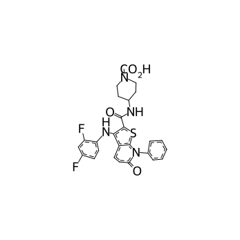 O=C(NC1CCN(C(=O)O)CC1)c1sc2c(ccc(=O)n2-c2ccccc2)c1Nc1ccc(F)cc1F